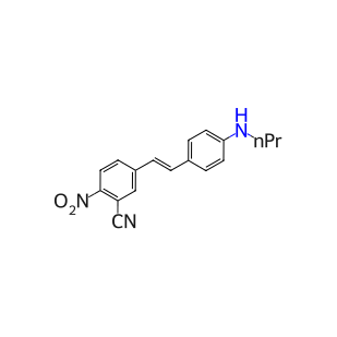 CCCNc1ccc(C=Cc2ccc([N+](=O)[O-])c(C#N)c2)cc1